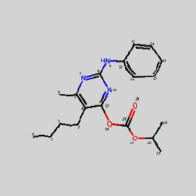 CCCCc1c(C)nc(Nc2ccccc2)nc1OC(=O)OC(C)C